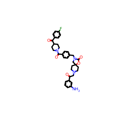 Nc1cccc(C(=O)CN2CCC3(CC2)CN(Cc2ccc(C(=O)N4CCC(C(=O)c5ccc(F)cc5)CC4)cc2)C(=O)O3)c1